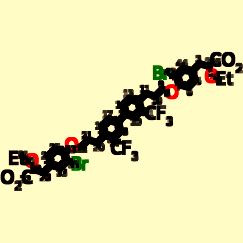 CCOC(Cc1ccc(OCCCc2ccc(-c3ccc(CCCOc4ccc(CC(OCC)C(=O)O)cc4Br)c(C(F)(F)F)c3)cc2C(F)(F)F)c(Br)c1)C(=O)O